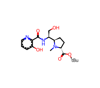 CN1[C@@H](C(=O)OC(C)(C)C)CC[C@@H]1[C@H](CO)NC(=O)c1ncccc1O